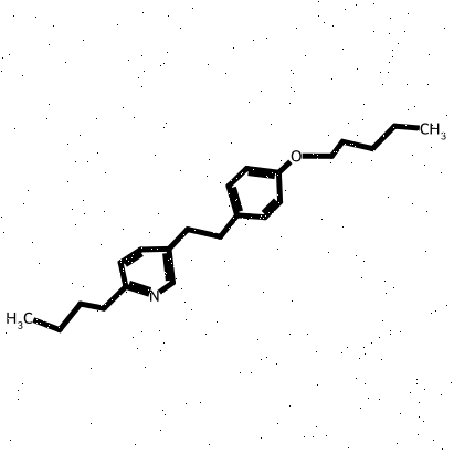 CCCCCOc1ccc(CCc2ccc(CCCC)nc2)cc1